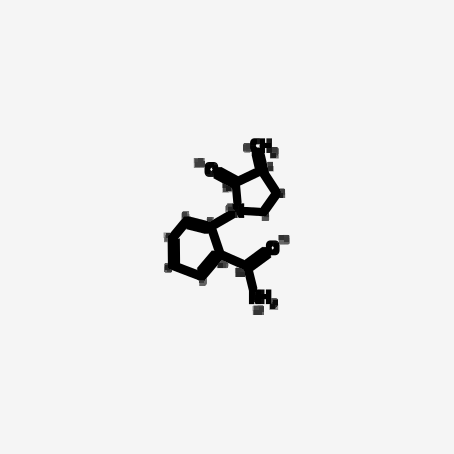 C=C1CCN(c2ccccc2C(N)=O)C1=O